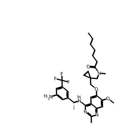 CCCCCCC(=O)N(C)CC1(COc2cc3c(N[C@H](C)c4cc(N)cc(C(F)(F)F)c4)nc(C)nc3cc2OC)CC1